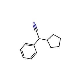 N#CC(c1ccccc1)C1CCCC1